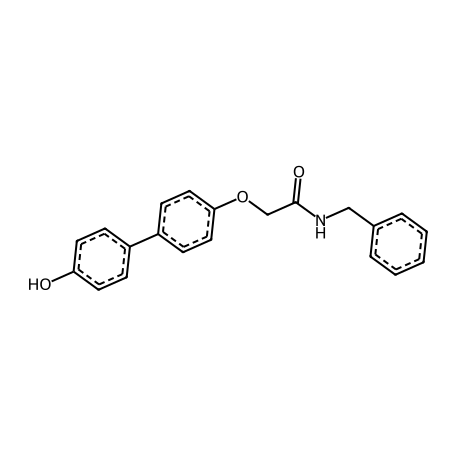 O=C(COc1ccc(-c2ccc(O)cc2)cc1)NCc1ccccc1